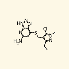 CCc1nn(C)c(Cl)c1CSc1cc(N)nc2[nH]nnc12